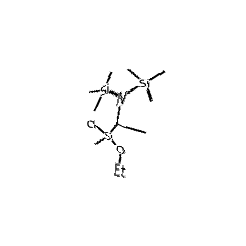 CCO[Si](C)(Cl)C(C)N([Si](C)(C)C)[Si](C)(C)C